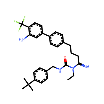 CCN(C(=N)CCCc1ccc(-c2ccc(C(F)(F)F)c(N)c2)cc1)C(=O)NCc1ccc(C(C)(C)C)cc1